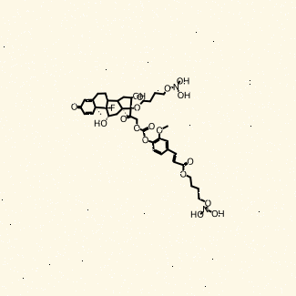 COc1cc(/C=C/C(=O)OCCCCON(O)O)ccc1OC(=O)OCC(=O)[C@@]1(OC(=O)CCCON(O)O)[C@H](O)CC2C3CCC4=CC(=O)C=C[C@]4(C)[C@@]3(F)[C@@H](O)C[C@@]21C